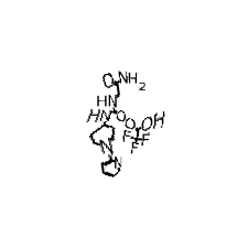 NC(=O)CNC(=O)NC1CCN(c2ccccn2)CC1.O=C(O)C(F)(F)F